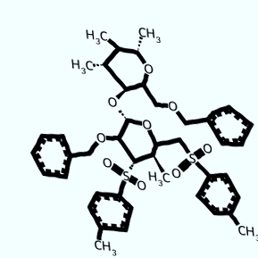 Cc1ccc(S(=O)(=O)CC2O[C@@H](O[C@@H]3C(COCc4ccccc4)O[C@@H](C)C(C)[C@H]3C)C(OCc3ccccc3)[C@@H](S(=O)(=O)c3ccc(C)cc3)[C@@H]2C)cc1